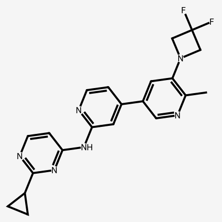 Cc1ncc(-c2ccnc(Nc3ccnc(C4CC4)n3)c2)cc1N1CC(F)(F)C1